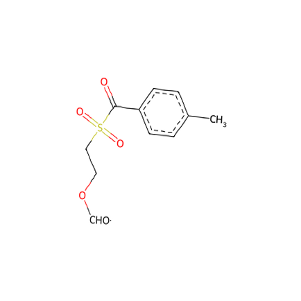 Cc1ccc(C(=O)S(=O)(=O)CCO[C]=O)cc1